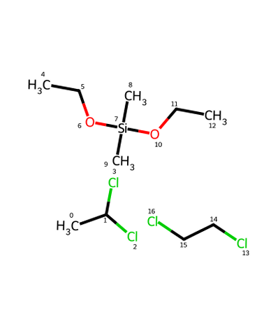 CC(Cl)Cl.CCO[Si](C)(C)OCC.ClCCCl